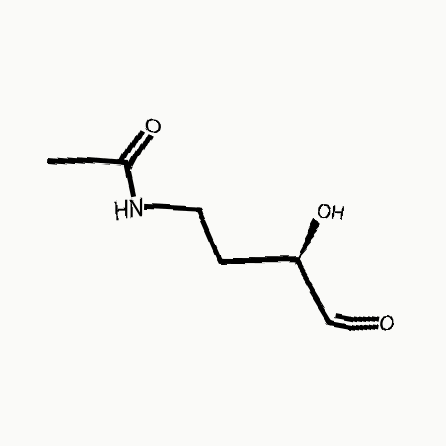 CC(=O)NCC[C@@H](O)C=O